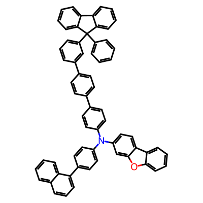 c1ccc(C2(c3cccc(-c4ccc(-c5ccc(N(c6ccc(-c7cccc8ccccc78)cc6)c6ccc7c(c6)oc6ccccc67)cc5)cc4)c3)c3ccccc3-c3ccccc32)cc1